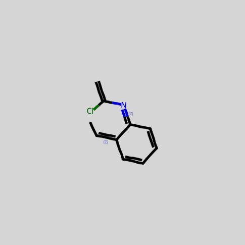 C=C(Cl)/N=C1/C=CC=C/C1=C/C